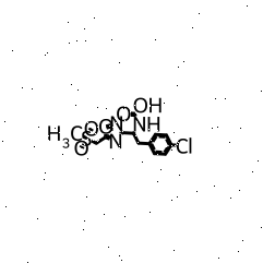 CS(=O)(=O)Cc1nc(C(Cc2ccc(Cl)cc2)NC(=O)O)no1